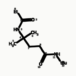 CCC(=O)NC(C)(C)CCC(=O)NC(C)(C)C